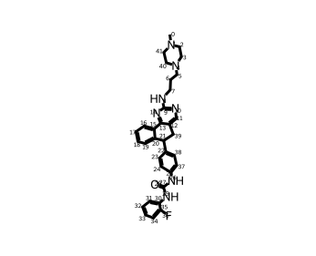 CN1CCN(CCCNc2ncc3c(n2)-c2ccccc2C(c2ccc(NC(=O)Nc4ccccc4F)cc2)C3)CC1